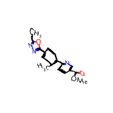 COC(=O)c1ccc(-c2ccc(-c3nnc(C)o3)cc2C)nc1